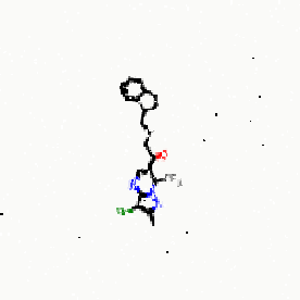 Cc1nn2c(C(F)(F)F)c(C(=O)CCCC3CCc4ccccc43)cnc2c1Br